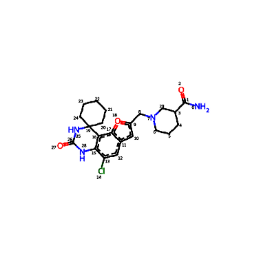 NC(=O)C1CCCN(Cc2cc3cc(Cl)c4c(c3o2)C2(CCCCC2)NC(=O)N4)C1